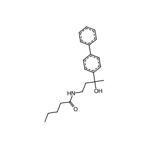 CCCCC(=O)NCCC(C)(O)c1ccc(-c2ccccc2)cc1